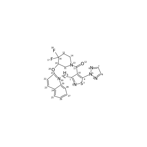 Cc1nsc(-n2nccn2)c1C(=O)N1CCC(F)(F)C(Oc2ccc3ccccc3n2)C1